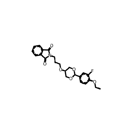 CCOc1ccc(C2OCC(OCCCN3C(=O)c4ccccc4C3=O)CO2)cc1F